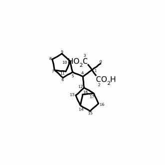 CC(C(=O)O)(C(=O)O)C(C1CC2CCC1C2)C1CC2CCC1C2